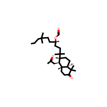 CCCC(C)(C)CC[C@@](C)(CCC(C)(C)[C@]1(C)CC[C@H]2C(C)(C)C(=O)CC[C@]2(C)[C@H]1CC(C)=O)OC=O